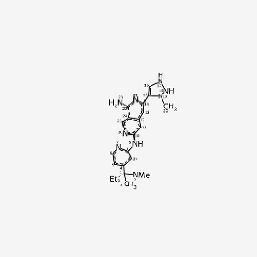 CC[C@@](C)(NC)c1ccnc(Nc2cc3cc(C4=CNNN4C)nc(N)c3cn2)c1